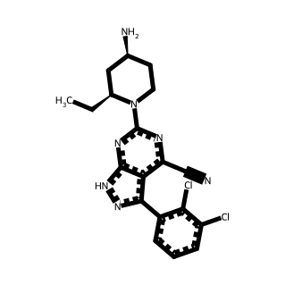 CC[C@H]1C[C@@H](N)CCN1c1nc(C#N)c2c(-c3cccc(Cl)c3Cl)n[nH]c2n1